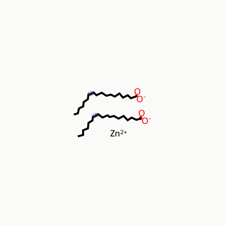 CCCCCC/C=C\CCCCCCCCCC(=O)[O-].CCCCCC/C=C\CCCCCCCCCC(=O)[O-].[Zn+2]